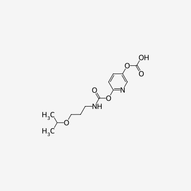 CC(C)OCCCNC(=O)Oc1ccc(OC(=O)O)cn1